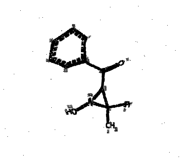 CC(C)C1(C)C(C(=O)c2ccccc2)N1O